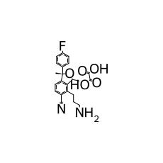 CC1O[C@@](C)(c2ccc(F)cc2)c2ccc(C#N)c(CCCN)c21.O=C(O)C(=O)O